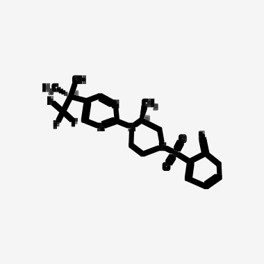 C[C@H]1CN(S(=O)(=O)C2=CC=CCC2=S)CCN1c1ncc([C@](C)(O)C(F)(F)F)cn1